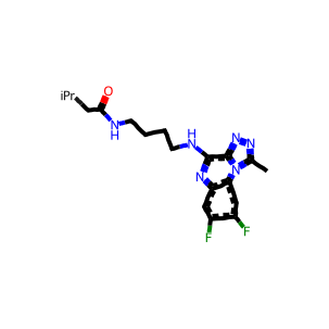 Cc1nnc2c(NCCCCNC(=O)CC(C)C)nc3cc(F)c(F)cc3n12